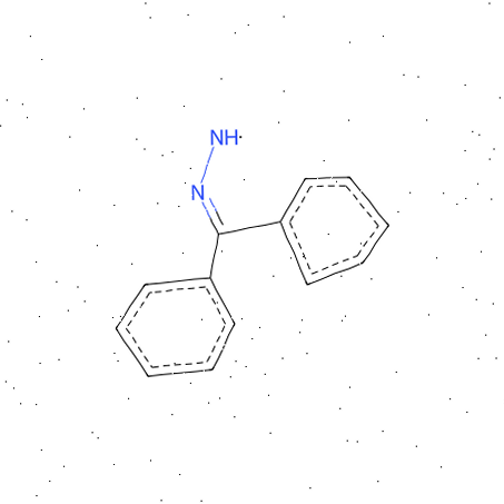 [NH]N=C(c1ccccc1)c1ccccc1